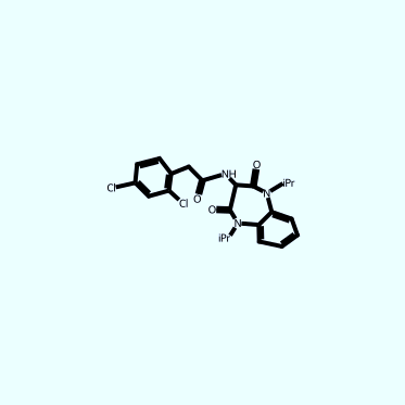 CC(C)N1C(=O)C(NC(=O)Cc2ccc(Cl)cc2Cl)C(=O)N(C(C)C)c2ccccc21